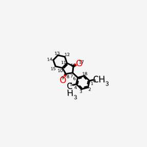 Cc1ccc(C)c(C2C(=O)C3=C(CCCC3)C2=O)c1